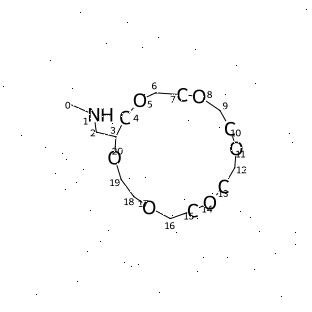 CNCC1COCCOCCOCCOCCOCCO1